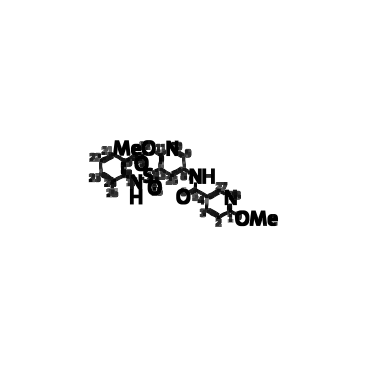 COc1ccc(C(=O)Nc2cnc(OC)c(S(=O)(=O)Nc3c(C)cccc3C)c2)cn1